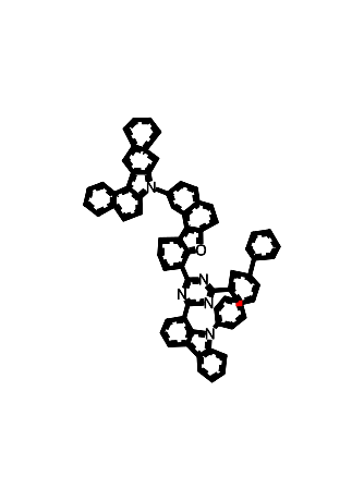 c1ccc(-c2cccc(-c3nc(-c4cccc5c4oc4ccc6ccc(-n7c8cc9ccccc9cc8c8c9ccccc9ccc87)cc6c45)nc(-c4cccc5c6ccccc6n(-c6ccccc6)c45)n3)c2)cc1